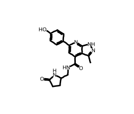 Cc1n[nH]c2nc(-c3ccc(O)cc3)cc(C(=O)NCC3CCC(=O)N3)c12